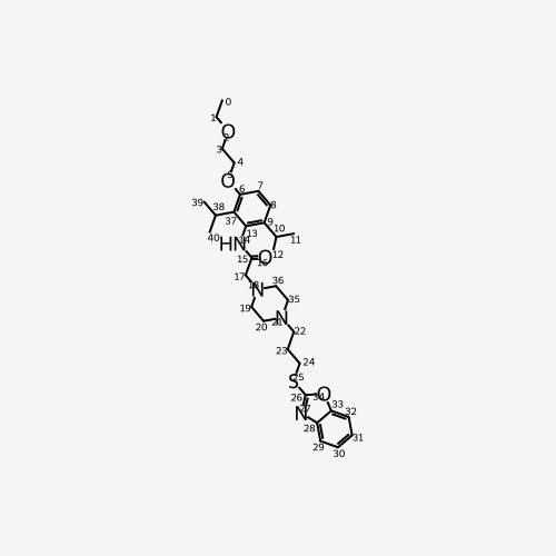 CCOCCOc1ccc(C(C)C)c(NC(=O)CN2CCN(CCCSc3nc4ccccc4o3)CC2)c1C(C)C